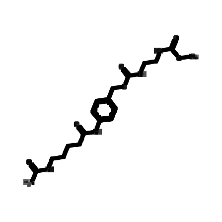 CC(C)(C)OC(=O)NCCNC(=O)OCc1ccc(NC(=O)CCCCNC(N)=O)cc1